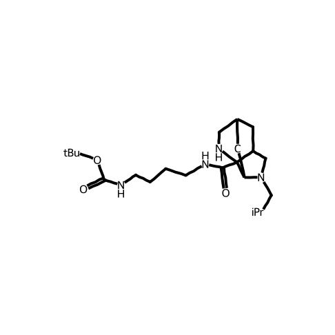 CC(C)CN1CC2CC3CNC2(C(=O)NCCCCNC(=O)OC(C)(C)C)C1C3